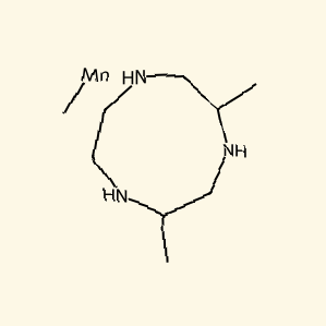 CC1CNCCNC(C)CN1.[CH3][Mn]